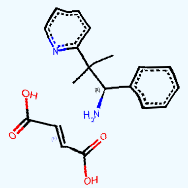 CC(C)(c1ccccn1)[C@H](N)c1ccccc1.O=C(O)/C=C/C(=O)O